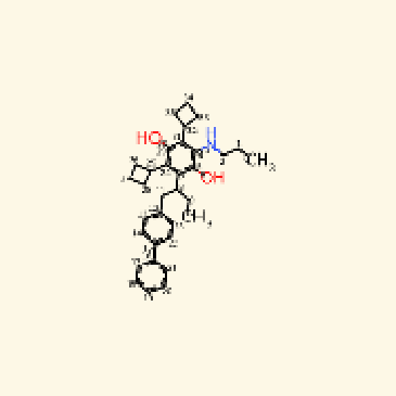 CCCNc1c(O)c(C(CC)Cc2ccc(-c3ccccc3)cc2)c(C2CCC2)c(O)c1C1CCC1